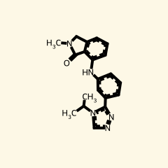 CC(C)n1cnnc1-c1cccc(Nc2cccc3c2C(=O)N(C)C3)c1